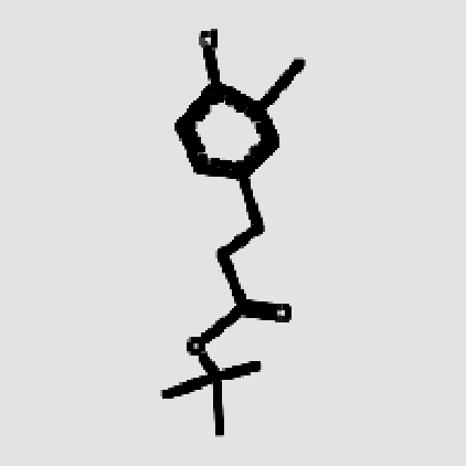 Cc1cc(CCC(=O)OC(C)(C)C)ccc1Cl